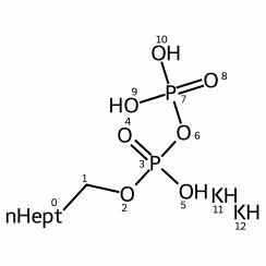 CCCCCCCCOP(=O)(O)OP(=O)(O)O.[KH].[KH]